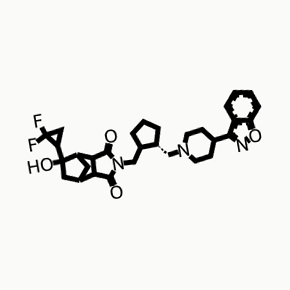 O=C1C2C3CC(C2C(=O)N1CC1CCC[C@@H]1CN1CCC(c2noc4ccccc24)CC1)C(O)(C1CC1(F)F)C3